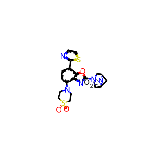 O=C(O)N1C2CC1CN(c1nc3c(N4CCS(=O)(=O)CC4)ccc(-c4nccs4)c3o1)C2